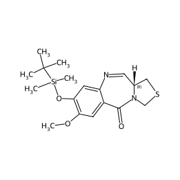 COc1cc2c(cc1O[Si](C)(C)C(C)(C)C)N=C[C@@H]1CSCN1C2=O